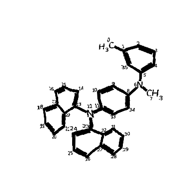 Cc1cccc(N(C)c2ccc(N(c3cccc4ccccc34)c3cccc4ccccc34)cc2)c1